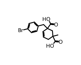 CC1(C(=O)O)CC=CC(Cc2ccc(Br)cc2)(C(=O)O)C1